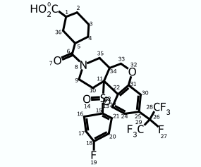 O=C(O)C1CCCC(C(=O)N2CCC3(S(=O)(=O)c4ccc(F)cc4)c4ccc(C(F)(C(F)(F)F)C(F)(F)F)cc4OCC3C2)C1